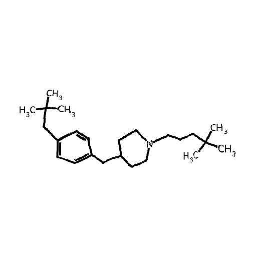 CC(C)(C)CCCN1CCC(Cc2ccc(CC(C)(C)C)cc2)CC1